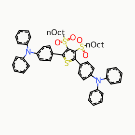 CCCCCCCCS(=O)(=O)c1c(-c2ccc(N(c3ccccc3)c3ccccc3)cc2)sc(-c2ccc(N(c3ccccc3)c3ccccc3)cc2)c1S(=O)(=O)CCCCCCCC